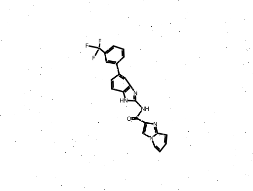 O=C(Nc1nc2cc(-c3cccc(C(F)(F)F)c3)ccc2[nH]1)c1cn2ccccc2n1